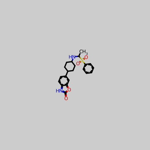 CC(NC1CCC(c2ccc3[nH]c(=O)oc3c2)CC1)S(=O)(=O)c1ccccc1